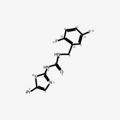 CC(C)c1cnc(NC(=O)NCc2cc(F)ccc2F)s1